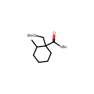 CCCCC(=O)C1(COC)CCCCC1C